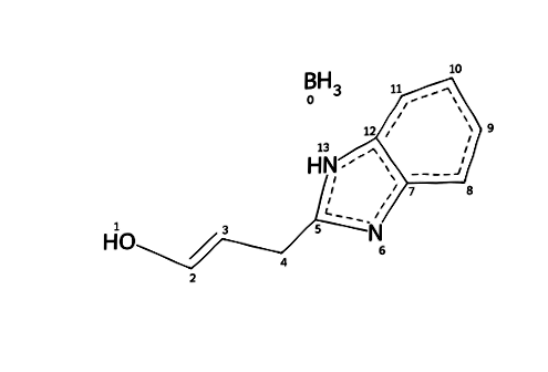 B.OC=CCc1nc2ccccc2[nH]1